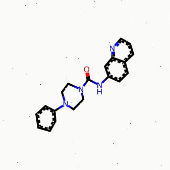 O=C(Nc1ccc2cccnc2c1)N1CCN(c2ccccc2)CC1